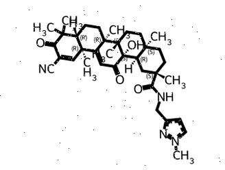 Cn1ccc(CNC(=O)[C@@]2(C)CC[C@]3(C)CC[C@@]4(C)[C@]5(C)CC[C@H]6C(C)(C)C(=O)C(C#N)=C[C@]6(C)C5=CC(=O)[C@]4(O)[C@@H]3C2)n1